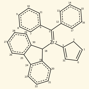 C1=CC[C]([Zr](=[C](c2ccccc2)c2ccccc2)[CH]2c3ccccc3-c3ccccc32)=C1